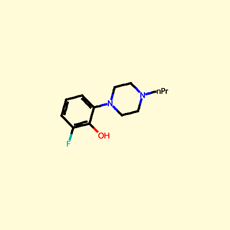 CCCN1CCN(c2cccc(F)c2O)CC1